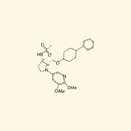 COc1cc(N2CC[C@H](NS(C)(=O)=O)[C@@H]2COC2CCC(c3ccccc3)CC2)cnc1OC